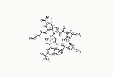 CCn1nc(C)cc1C(=O)Nc1nc2cc(C(N)=O)cc(CCC(=O)O)c2n1CC=CCn1c(NC(=O)c2cc(C)nn2CC)nc2cc(C(N)=O)cc(OCCCOC)c21